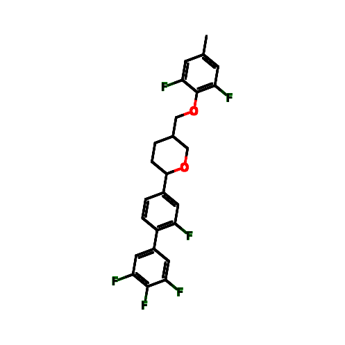 Cc1cc(F)c(OCC2CCC(c3ccc(-c4cc(F)c(F)c(F)c4)c(F)c3)OC2)c(F)c1